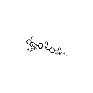 CNC(=O)c1ccc(CN(C=O)c2ccc(N(Cc3ccccc3Cl)S(C)(=O)=O)cc2)cc1